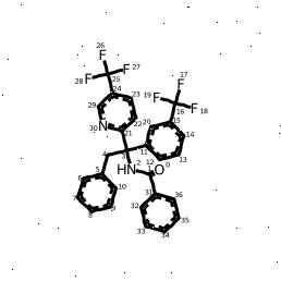 O=C(NC(Cc1ccccc1)(c1cccc(C(F)(F)F)c1)c1ccc(C(F)(F)F)cn1)c1ccccc1